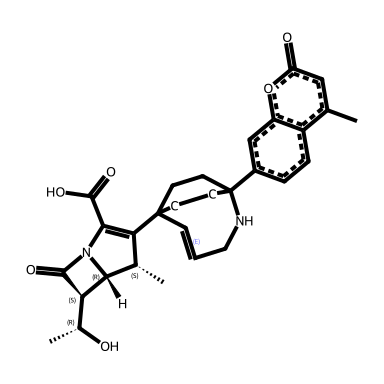 Cc1cc(=O)oc2cc(C34CCC(C5=C(C(=O)O)N6C(=O)[C@H]([C@@H](C)O)[C@H]6[C@H]5C)(/C=C/CN3)CC4)ccc12